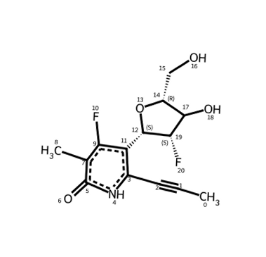 CC#Cc1[nH]c(=O)c(C)c(F)c1[C@@H]1O[C@H](CO)C(O)[C@@H]1F